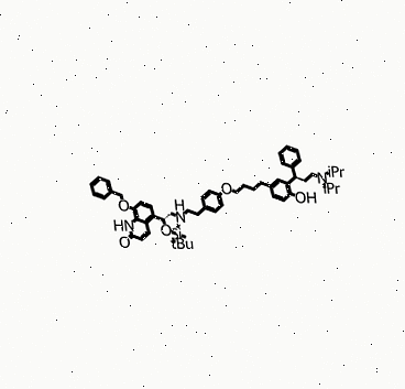 CC(C)N(CC[C@H](c1ccccc1)c1cc(CCCCOc2ccc(CCNC[C@H](O[Si](C)(C)C(C)(C)C)c3ccc(OCc4ccccc4)c4[nH]c(=O)ccc34)cc2)ccc1O)C(C)C